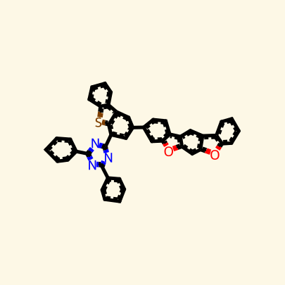 c1ccc(-c2nc(-c3ccccc3)nc(-c3cc(-c4ccc5c(c4)oc4cc6oc7ccccc7c6cc45)cc4c3sc3ccccc34)n2)cc1